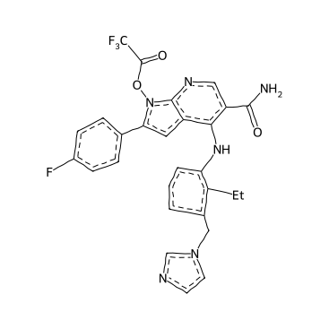 CCc1c(Cn2ccnc2)cccc1Nc1c(C(N)=O)cnc2c1cc(-c1ccc(F)cc1)n2OC(=O)C(F)(F)F